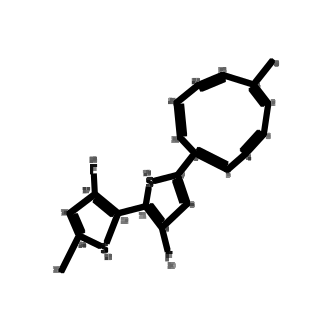 Cc1ccccc(-c2cc(F)c(-c3sc(C)cc3F)s2)cccc1